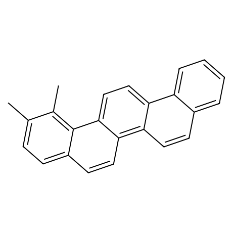 Cc1ccc2ccc3c4ccc5ccccc5c4ccc3c2c1C